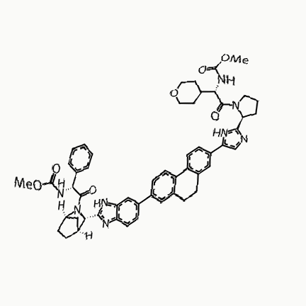 COC(=O)N[C@H](C(=O)N1CCC[C@H]1c1ncc(-c2ccc3c(c2)CCc2cc(-c4ccc5nc([C@@H]6[C@H]7CC[C@H](C7)N6C(=O)[C@H](NC(=O)OC)c6ccccc6)[nH]c5c4)ccc2-3)[nH]1)C1CCOCC1